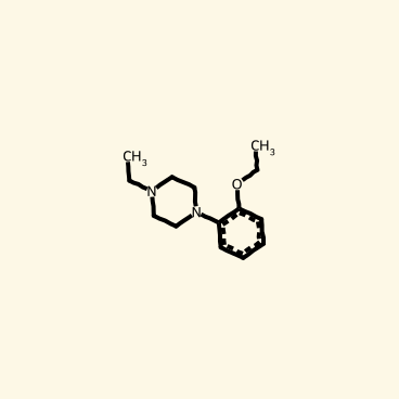 CCOc1ccccc1N1CCN(CC)CC1